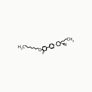 CCCCCCCCOc1ccc(-c2ccc([C@H]3CC[C@@](C#N)(CCCC)CC3)cc2)cc1F